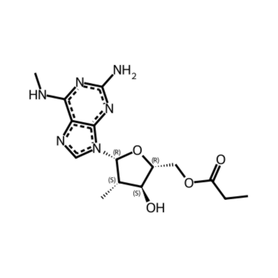 CCC(=O)OC[C@H]1O[C@@H](n2cnc3c(NC)nc(N)nc32)[C@@H](C)[C@@H]1O